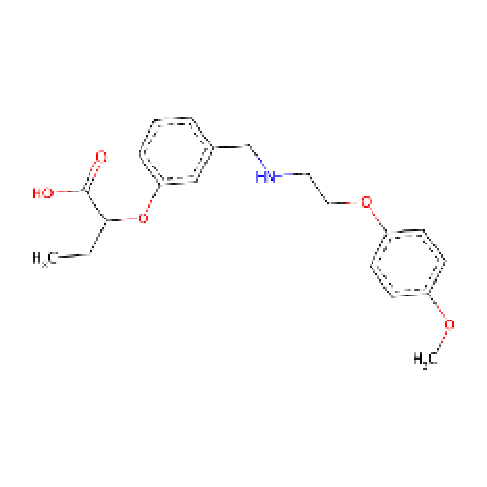 CCC(Oc1cccc(CNCCOc2ccc(OC)cc2)c1)C(=O)O